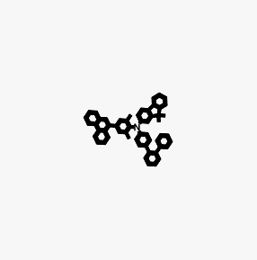 Cc1cc(-c2cc3ccccc3c3ccccc23)cc(C)c1N(c1ccc(-c2ccccc2-c2ccccc2)cc1)c1ccc2c(c1)C(C)(C)c1ccccc1-2